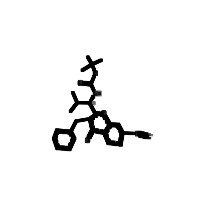 [C-]#[N+]c1ccc2c(=O)c(Cc3ccccc3)c([C@H](NC(=O)OC(C)(C)C)C(C)C)oc2c1